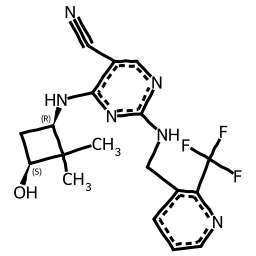 CC1(C)[C@@H](O)C[C@H]1Nc1nc(NCc2cccnc2C(F)(F)F)ncc1C#N